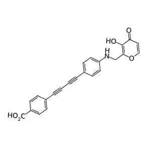 O=C(O)c1ccc(C#CC#Cc2ccc(NCc3occc(=O)c3O)cc2)cc1